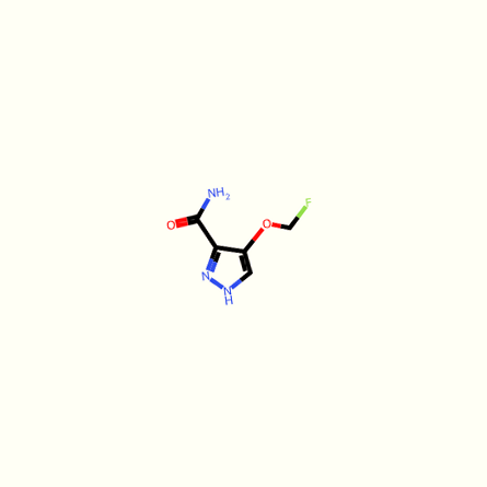 NC(=O)c1n[nH]cc1OCF